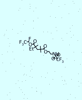 CCC(C)(CC(C)(C)C(=O)OCCNS(=O)(=O)C(F)(F)F)C(=O)OC(F)C(F)(F)F